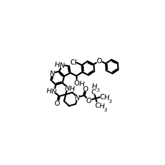 CC(C)(C)OC(=O)N1CCCC2(C1)Nc1c(cnc3[nH]cc(C(O)c4ccc(Oc5ccccc5)cc4Cl)c13)NC2=O